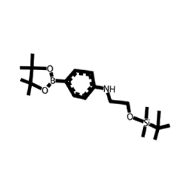 CC1(C)OB(c2ccc(NCCO[Si](C)(C)C(C)(C)C)cc2)OC1(C)C